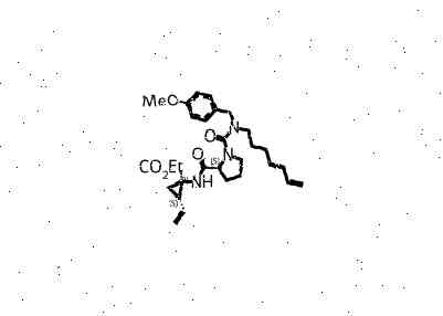 C=CCCCCCN(Cc1ccc(OC)cc1)C(=O)N1CCC[C@H]1C(=O)N[C@]1(C(=O)OCC)C[C@H]1C=C